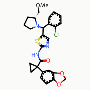 COC[C@H]1CCCN1C(c1cnc(NC(=O)C2(c3ccc4c(c3)OCO4)CC2)s1)c1ccccc1Cl